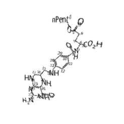 CCCCCOC(=O)CCC(NC(=O)c1ccc(NCC2CNc3nc(N)[nH]c(=O)c3N2)cc1)C(=O)O